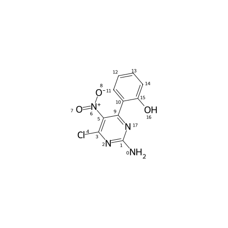 Nc1nc(Cl)c([N+](=O)[O-])c(-c2ccccc2O)n1